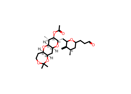 C=C1C(C[C@@H]2O[C@H]3C[C@H]4OC(C)(C)OCC[C@H]4O[C@H]3[C@H](C)[C@H]2OC(C)=O)OC(CCC=O)C[C@H]1C